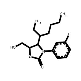 CCCCC(CC)C1C(CO)OC(=O)N1c1cccc(F)c1